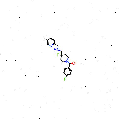 Cc1ccc(CNCC2(F)CCN(C(=O)c3ccc(F)cc3)CC2)nc1